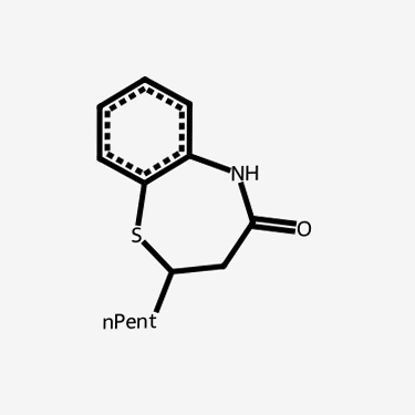 CCCCCC1CC(=O)Nc2ccccc2S1